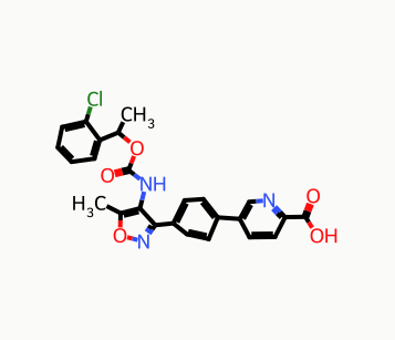 Cc1onc(-c2ccc(-c3ccc(C(=O)O)nc3)cc2)c1NC(=O)OC(C)c1ccccc1Cl